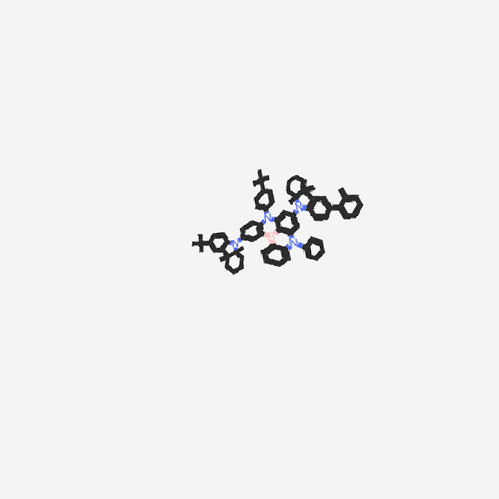 Cc1ccccc1-c1ccc2c(c1)C1(C)CCCCC1(C)N2c1cc2c3c(c1)N(c1ccc(C(C)(C)C)cc1)c1ccc(N4c5ccc(C(C)(C)C)cc5C5(C)CCCCC45C)cc1B3c1ccccc1N2c1ccccc1